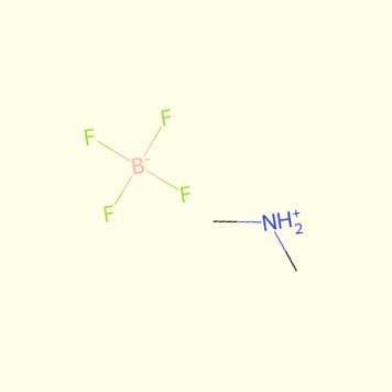 C[NH2+]C.F[B-](F)(F)F